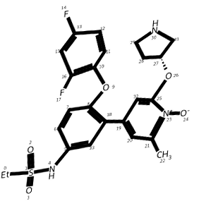 CCS(=O)(=O)Nc1ccc(Oc2ccc(F)cc2F)c(-c2cc(C)[n+]([O-])c(O[C@@H]3CCNC3)c2)c1